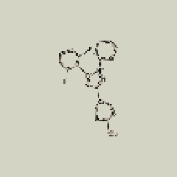 CC(C)(C)c1ccc(-c2nn(-c3c(F)cccc3F)[n+](-c3ccccc3)n2)cc1